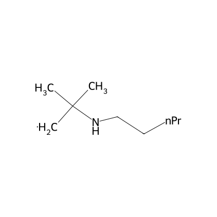 [CH2]C(C)(C)NCCCCC